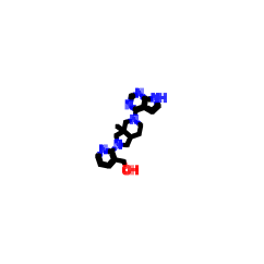 CC12CN(c3ncccc3CO)CC1CCN(c1ncnc3[nH]ccc13)C2